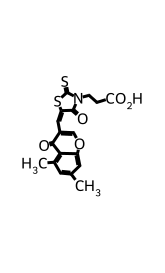 Cc1cc(C)c2c(=O)c(/C=C3/SC(=S)N(CCC(=O)O)C3=O)coc2c1